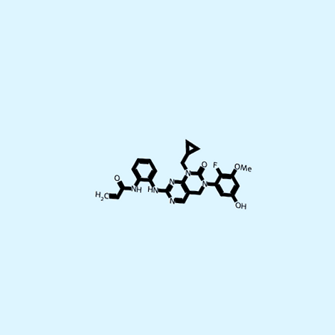 C=CC(=O)Nc1ccccc1Nc1ncc2c(n1)N(CC1CC1)C(=O)N(c1cc(O)cc(OC)c1F)C2